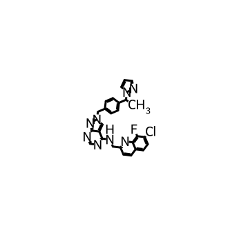 CC(c1ccc(Cn2cc3c(NCc4ccc5ccc(Cl)c(F)c5n4)ncnc3n2)cc1)n1cccn1